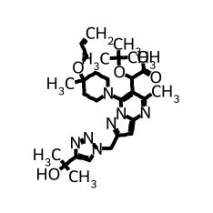 C=CCOC1(C)CCN(c2c(C(OC(C)(C)C)C(=O)O)c(C)nc3cc(Cn4cc(C(C)(C)O)nn4)nn23)CC1